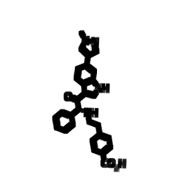 Cn1cc(-c2ccc3c(C(=O)[C@H](NCCc4ccc(C(=O)O)cc4)c4ccccc4)c[nH]c3c2)cn1